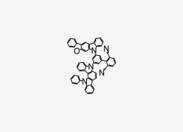 N#Cc1cccc(C#N)c1-c1cc(-n2c3ccccc3c3cc4c(cc32)oc2ccccc24)cc(-n2c3ccccc3c3c2ccc2c4ccccc4n(-c4ccccc4)c23)c1